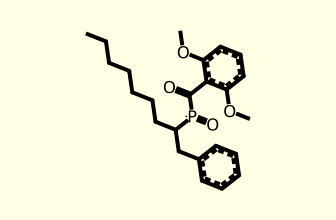 CCCCCCCC(Cc1ccccc1)[P](=O)C(=O)c1c(OC)cccc1OC